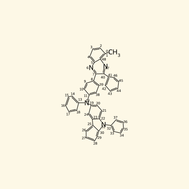 Cc1cccc2nc(-c3ccc(N(c4ccccc4)c4ccc5c(c4)c4ccccc4n5-c4ccccc4)cc3)c(-c3ccccc3)nc12